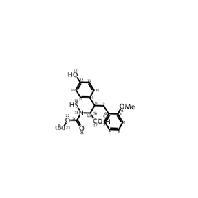 COc1ccccc1CC(c1ccc(O)cc1)[C@@H](C(=O)O)N(S)C(=O)OC(C)(C)C